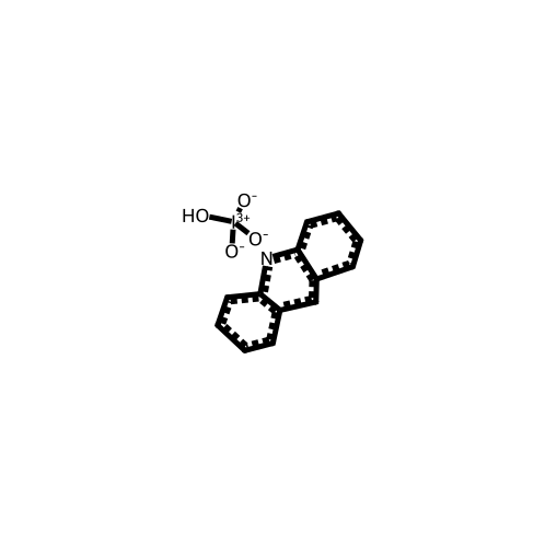 [O-][I+3]([O-])([O-])O.c1ccc2nc3ccccc3cc2c1